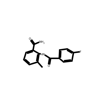 Cc1cccc(C(N)=O)c1NC(=O)c1ccc(F)cc1